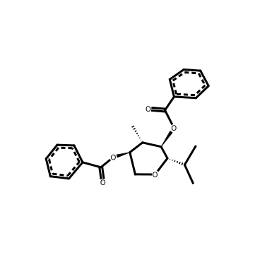 CC(C)[C@@H]1OC[C@@H](OC(=O)c2ccccc2)[C@H](C)[C@H]1OC(=O)c1ccccc1